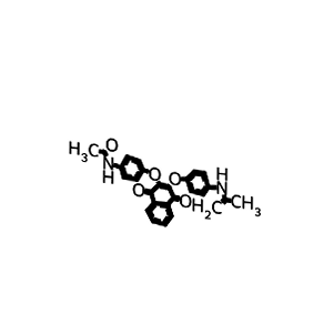 C=C(C)Nc1ccc(OC2=C(Oc3ccc(NC(C)=O)cc3)C(=O)c3ccccc3C2=O)cc1